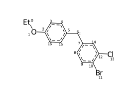 CCOc1ccc([C]c2ccc(Br)c(Cl)c2)cc1